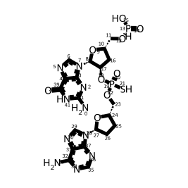 Nc1nc2c(ncn2[C@@H]2O[C@H](CO[PH](=O)O)C[C@H]2OP(=O)(S)OC[C@@H]2CC[C@H](n3cnc4c(N)ncnc43)O2)c(=O)[nH]1